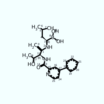 C=C(N[C@@H](CC(C)C)B(O)O)[C@@H](NC(=O)c1cc(-c2ccccc2)ccn1)C(C)O